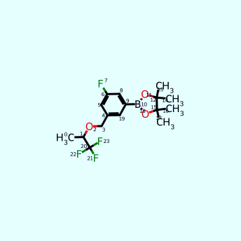 CC(OCc1cc(F)cc(B2OC(C)(C)C(C)(C)O2)c1)C(F)(F)F